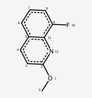 COc1c[c]c2cccc(F)c2n1